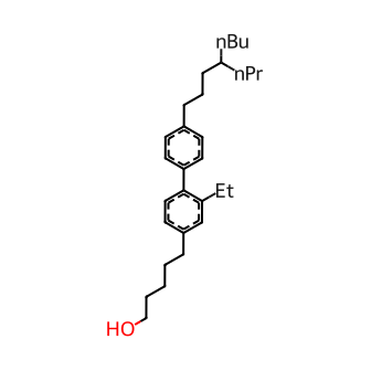 CCCCC(CCC)CCCc1ccc(-c2ccc(CCCCCO)cc2CC)cc1